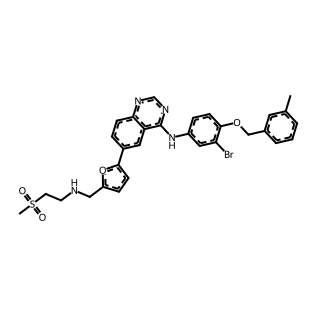 Cc1cccc(COc2ccc(Nc3ncnc4ccc(-c5ccc(CNCCS(C)(=O)=O)o5)cc34)cc2Br)c1